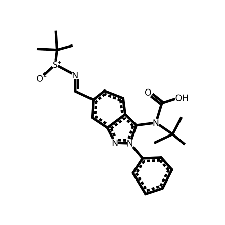 CC(C)(C)N(C(=O)O)c1c2ccc(/C=N/[S+]([O-])C(C)(C)C)cc2nn1-c1ccccc1